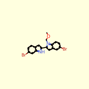 COCn1c(-c2cc3ccc(Br)cc3[nH]2)cc2cc(Br)ccc21